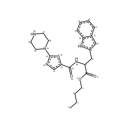 CCCCOC(=O)C(Cc1cc2ccccc2[nH]1)NC(=O)c1cnc(N2CCNCC2)s1